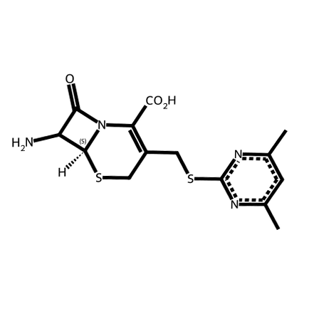 Cc1cc(C)nc(SCC2=C(C(=O)O)N3C(=O)C(N)[C@@H]3SC2)n1